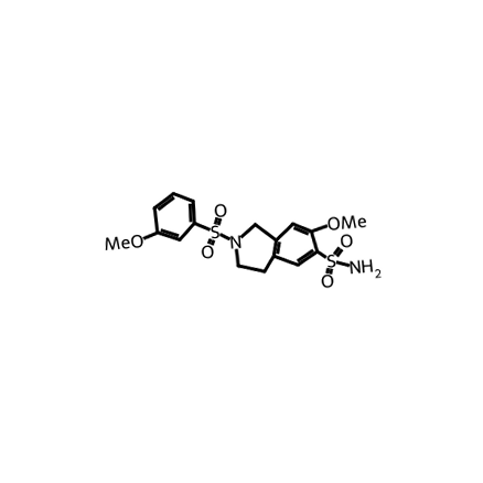 COc1cccc(S(=O)(=O)N2CCc3cc(S(N)(=O)=O)c(OC)cc3C2)c1